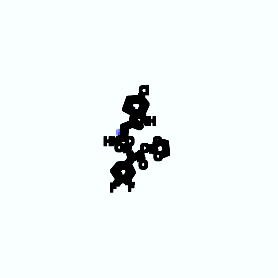 O=C(ON1OCCO1)C(c1ccc(F)c(F)c1)N1ON/C(=C/c2c[nH]c3cc(Cl)ccc23)O1